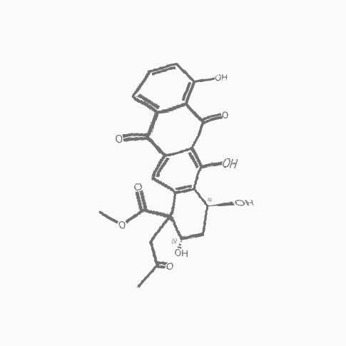 COC(=O)C1(CC(C)=O)c2cc3c(c(O)c2[C@@H](O)C[C@@H]1O)C(=O)c1c(O)cccc1C3=O